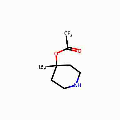 CC(C)(C)C1(OC(=O)C(F)(F)F)CCNCC1